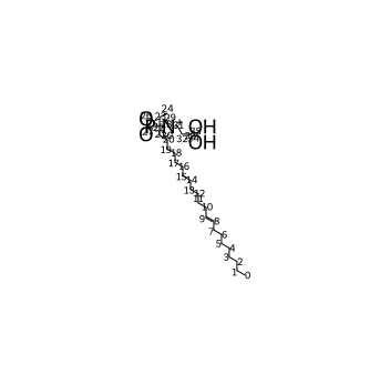 CCCCCCCCC=CCCCCCCCCCCCCC(CC)(P(=O)=O)[N+](C)(C)CCC(O)O